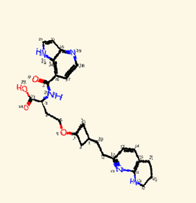 O=C(N[C@@H](CCOC1CC(CCc2ccc3c(n2)NCCC3)C1)C(=O)O)c1ccnc2cc[nH]c12